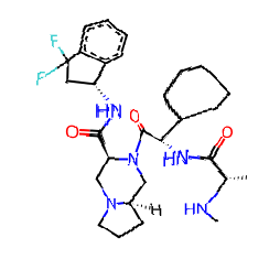 CN[C@@H](C)C(=O)N[C@H](C(=O)N1C[C@H]2CCCN2C[C@H]1C(=O)N[C@@H]1CC(F)(F)c2ccccc21)C1CCCCC1